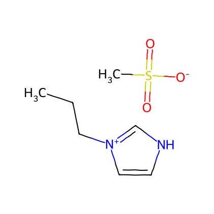 CCC[n+]1cc[nH]c1.CS(=O)(=O)[O-]